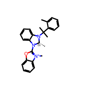 Cc1ccccc1C(C)(C)N1c2ccccc2N(c2oc3ccccc3[n+]2C)[C@H]1C